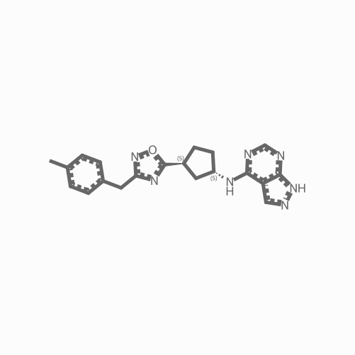 Cc1ccc(Cc2noc([C@H]3CC[C@H](Nc4ncnc5[nH]ncc45)C3)n2)cc1